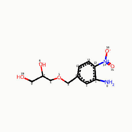 Nc1cc(COCC(O)CO)ccc1[N+](=O)[O-]